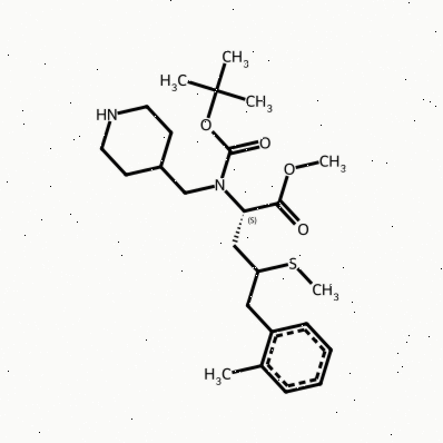 COC(=O)[C@H](CC(Cc1ccccc1C)SC)N(CC1CCNCC1)C(=O)OC(C)(C)C